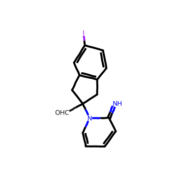 N=c1ccccn1C1(C=O)Cc2ccc(I)cc2C1